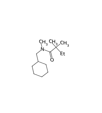 CCC(C)(C)C(=O)N(C)CC1CCCCC1